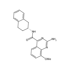 COc1cccc2c(C(=O)N[C@@H]3CCc4ccccc4C3)nc(N)nc12